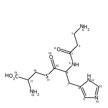 NCCC(=O)NC(Cc1cnc[nH]1)C(=O)SCC(N)C(=O)O